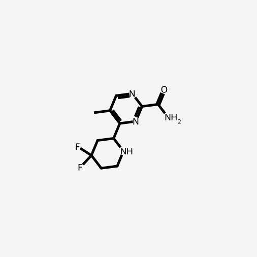 Cc1cnc(C(N)=O)nc1C1CC(F)(F)CCN1